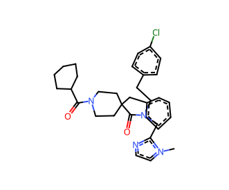 Cn1ccnc1CN(CCc1ccc(Cl)cc1)C(=O)C1(Cc2ccccc2)CCN(C(=O)C2CCCCC2)CC1